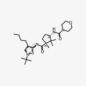 CCCCc1cn(C(C)(C)C)s/c1=N\C(=O)[C@]1(C)CC[C@H](NC(=O)N2CCOCC2)C1(C)C